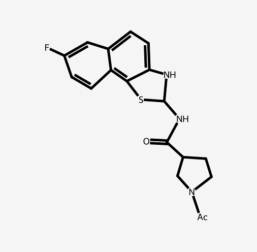 CC(=O)N1CCC(C(=O)NC2Nc3ccc4cc(F)ccc4c3S2)C1